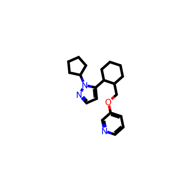 c1cncc(OCC2CCCCC2c2ccnn2C2CCCC2)c1